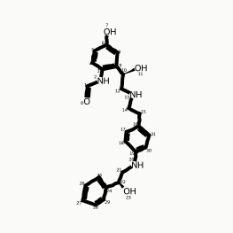 O=CNc1ccc(O)cc1[C@@H](O)CNCCc1ccc(NC[C@@H](O)c2ccccc2)cc1